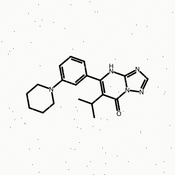 CC(C)c1c(-c2cccc(N3CCCCC3)c2)[nH]c2ncnn2c1=O